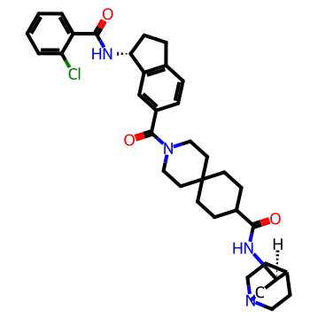 O=C(N[C@@H]1CCc2ccc(C(=O)N3CCC4(CCC(C(=O)N[C@@H]5CN6CCC5CC6)CC4)CC3)cc21)c1ccccc1Cl